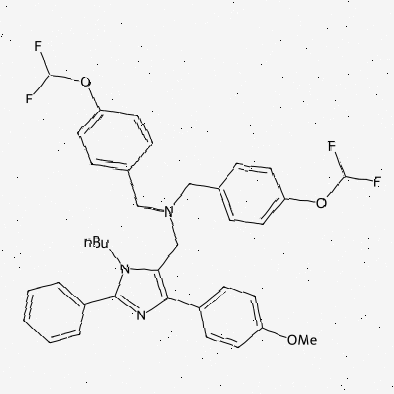 CCCCn1c(-c2ccccc2)nc(-c2ccc(OC)cc2)c1CN(Cc1ccc(OC(F)F)cc1)Cc1ccc(OC(F)F)cc1